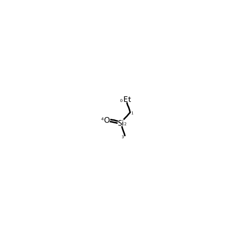 CCC[Si](C)=O